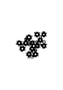 c1ccc(N(c2ccccc2)c2cc3c4c(c2)Oc2c(ccc5c6c7c(ccc6c6c8c(ccc6c25)B2c5ccccc5Oc5cc(N(c6ccccc6)c6ccccc6)cc(c52)O8)B2c5ccccc5Oc5cccc(c52)O7)B4c2ccccc2O3)cc1